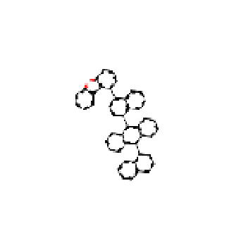 c1ccc2c(-c3c4ccccc4c(-c4ccc(-c5cccc6oc7ccccc7c56)c5ccccc45)c4ccccc34)cccc2c1